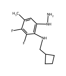 Cc1cc(NN)c(NCC2CCC2)c(F)c1F